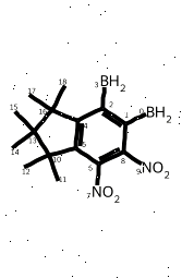 Bc1c(B)c2c(c([N+](=O)[O-])c1[N+](=O)[O-])C(C)(C)C(C)(C)C2(C)C